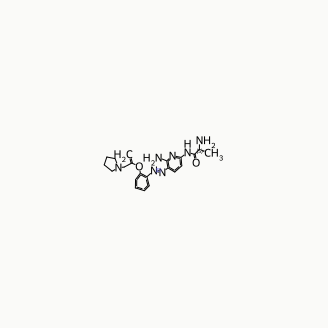 C=C(CN1CCCC1)Oc1ccccc1/N=N/c1ccc(NC(=O)[C@H](C)N)nc1N